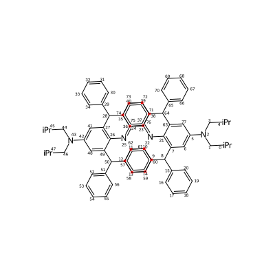 CC(C)CN(CC(C)C)c1cc(C(c2ccccc2)c2ccccc2)c(/N=C/C=N/c2c(C(c3ccccc3)c3ccccc3)cc(N(CC(C)C)CC(C)C)cc2C(c2ccccc2)c2ccccc2)c(C(c2ccccc2)c2ccccc2)c1